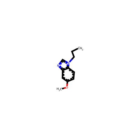 CCCn1cnc2cc(OC)ccc21